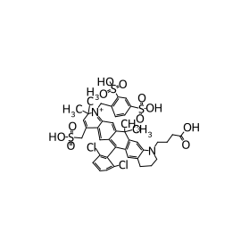 CC1(C)c2cc3c(cc2C(c2c(Cl)cccc2Cl)=c2cc4c(cc21)=[N+](Cc1ccc(S(=O)(=O)O)cc1S(=O)(=O)O)C(C)(C)C=C4CS(=O)(=O)O)CCCN3CCCC(=O)O